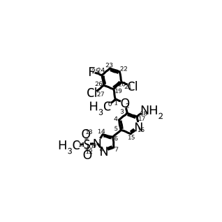 CC(Oc1cc(-c2cnn(S(C)(=O)=O)c2)cnc1N)c1c(Cl)ccc(F)c1Cl